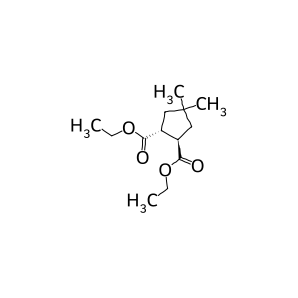 CCOC(=O)[C@@H]1CC(C)(C)C[C@H]1C(=O)OCC